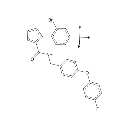 O=C(NCc1ccc(Oc2ccc(F)cc2)cc1)c1cccn1-c1ccc(C(F)(F)F)cc1Br